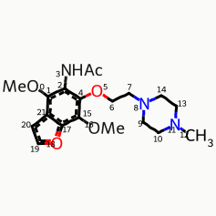 COc1c(NC(C)=O)c(OCCN2CCN(C)CC2)c(OC)c2occc12